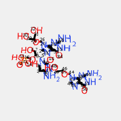 Nc1ccn(C[C@@H](CO)OCP(=O)(O)O)c(=O)n1.Nc1nc2c(ncn2COC(CO)CO)c(=O)[nH]1.Nc1nc2c(ncn2COCCO)c(=O)[nH]1